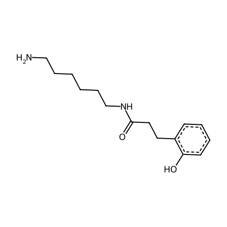 NCCCCCCNC(=O)CCc1ccccc1O